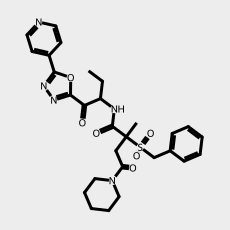 CCC(NC(=O)C(C)(CC(=O)N1CCCCC1)S(=O)(=O)Cc1ccccc1)C(=O)c1nnc(-c2ccncc2)o1